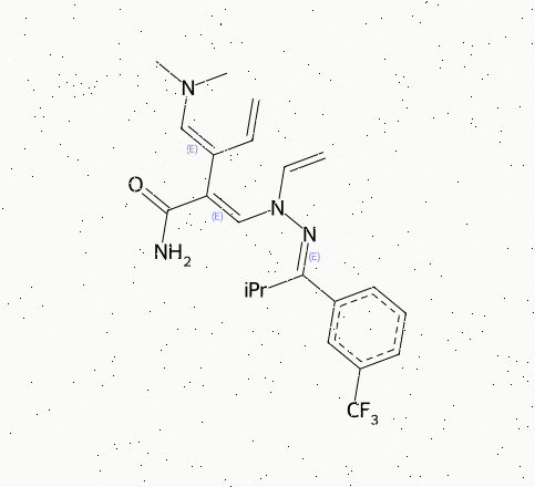 C=CC(=C\N(C)C)/C(=C\N(C=C)/N=C(/c1cccc(C(F)(F)F)c1)C(C)C)C(N)=O